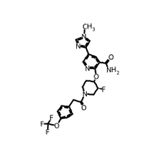 Cn1cnc(-c2cnc(O[C@@H]3CCN(C(=O)Cc4ccc(OC(F)(F)F)cc4)C[C@@H]3F)c(C(N)=O)c2)c1